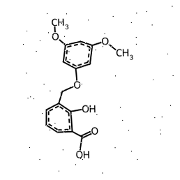 COc1cc(OC)cc(OCc2cccc(C(=O)O)c2O)c1